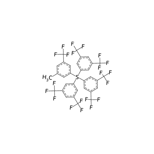 Cc1cc(C(F)(F)F)cc(S(c2cc(C(F)(F)F)cc(C(F)(F)F)c2)(c2cc(C(F)(F)F)cc(C(F)(F)F)c2)c2cc(C(F)(F)F)cc(C(F)(F)F)c2)c1